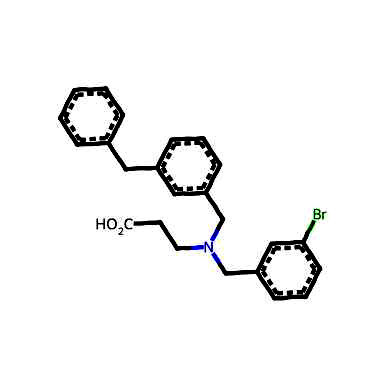 O=C(O)CCN(Cc1cccc(Br)c1)Cc1cccc(Cc2ccccc2)c1